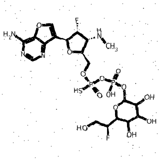 CN[C@H]1[C@@H](F)[C@H](c2coc3c(N)ncnc23)O[C@@H]1COP(=O)(S)OP(=O)(O)OC1OC([C@@H](F)CO)C(O)C(O)C1O